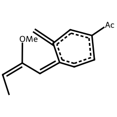 C=c1cc(C(C)=O)cc/c1=C/C(=C\C)OC